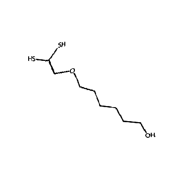 OCCCCCCOCC(S)S